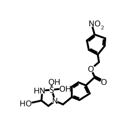 O=C(OCc1ccc([N+](=O)[O-])cc1)c1ccc(CN2CC(O)NS2(O)O)cc1